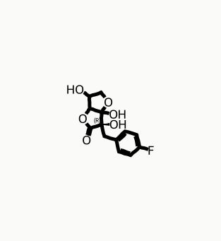 O=C1OC2C(O)COC2(O)[C@]1(O)Cc1ccc(F)cc1